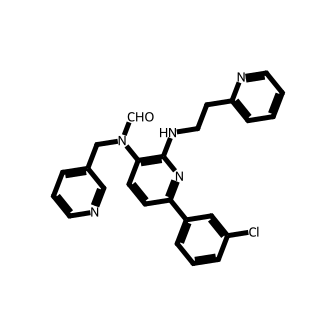 O=CN(Cc1cccnc1)c1ccc(-c2cccc(Cl)c2)nc1NCCc1ccccn1